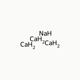 [CaH2].[CaH2].[CaH2].[NaH]